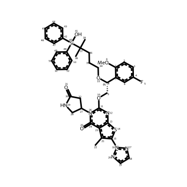 COc1ccc(F)cc1[C@H](COc1nc2sc(-n3nccn3)c(C)c2c(=O)n1C1CNC(=O)C1)OCCCC(C)(C)[Si](O)(c1ccccc1)c1ccccc1